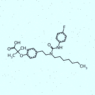 CCCCCCCN(CCc1ccc(OC(C)(C)C(=O)O)cc1)C(=O)Nc1ccc(F)cc1